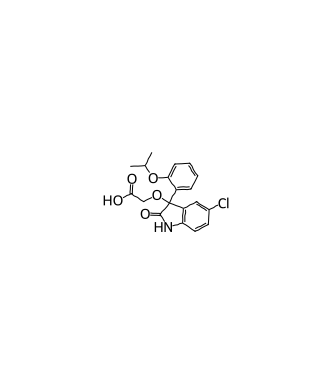 CC(C)Oc1ccccc1C1(OCC(=O)O)C(=O)Nc2ccc(Cl)cc21